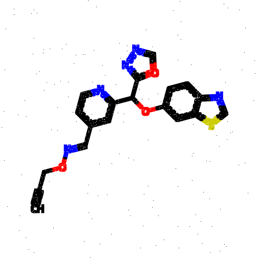 C#CCO/N=C/c1ccnc(C(Oc2ccc3ncsc3c2)c2nnco2)c1